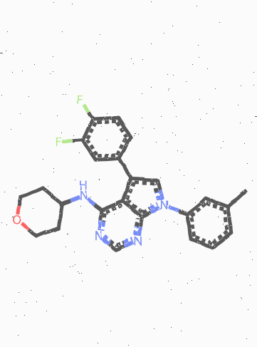 Cc1cccc(-n2cc(-c3ccc(F)c(F)c3)c3c(NC4CCOCC4)ncnc32)c1